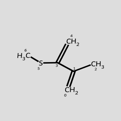 C=C(C)C(=C)SC